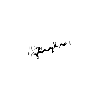 C=CCOC(=O)NCCCCC(NC)C(C)=O